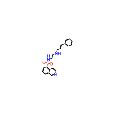 O=S(=O)(NCCNCC=Cc1ccccc1)c1cccc2cnccc12